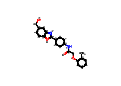 Cc1ccccc1OCC(=O)Nc1ccc(-c2nc3cc(CO)ccc3o2)cc1